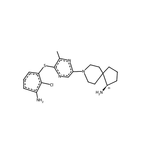 Cc1nc(N2CCC3(CCC[C@H]3N)CC2)cnc1Sc1cccc(N)c1Cl